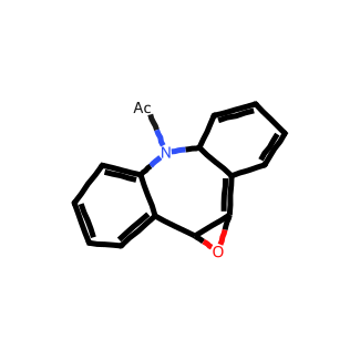 CC(=O)N1c2ccccc2C2OC2=C2C=CC=CC21